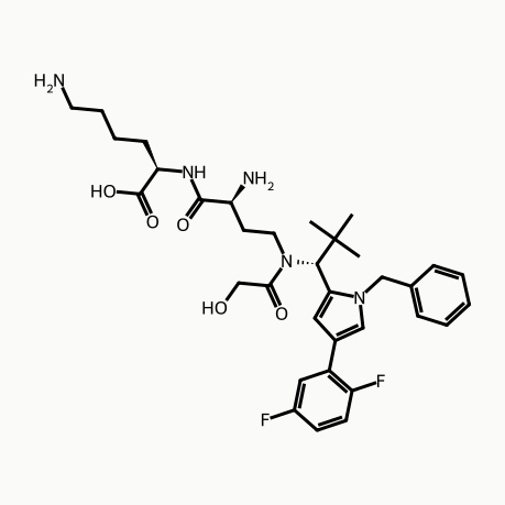 CC(C)(C)[C@H](c1cc(-c2cc(F)ccc2F)cn1Cc1ccccc1)N(CC[C@H](N)C(=O)N[C@H](CCCCN)C(=O)O)C(=O)CO